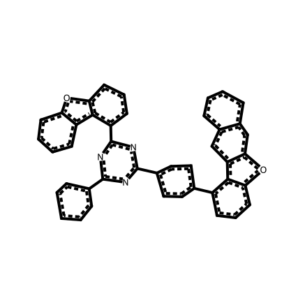 c1ccc(-c2nc(-c3ccc(-c4cccc5oc6cc7ccccc7cc6c45)cc3)nc(-c3cccc4oc5ccccc5c34)n2)cc1